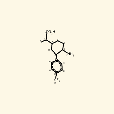 CC(C(=O)O)C1CCC(N)C(c2ccc(C(F)(F)F)cc2)C1